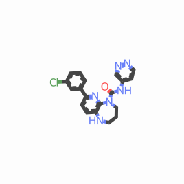 O=C(Nc1ccnnc1)N1CCCNc2ccc(-c3cccc(Cl)c3)nc21